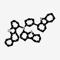 c1cc(-c2cccc3c2sc2ccccc23)cc(N(c2cccc3c2sc2ccccc23)c2cccc3oc4c5ccccc5ccc4c23)c1